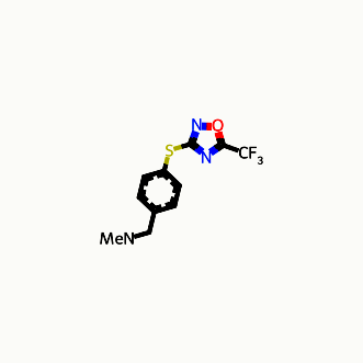 CNCc1ccc(Sc2noc(C(F)(F)F)n2)cc1